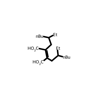 CCCCC(CC)CC(C(=O)O)=C(CC(CC)CCCC)C(=O)O